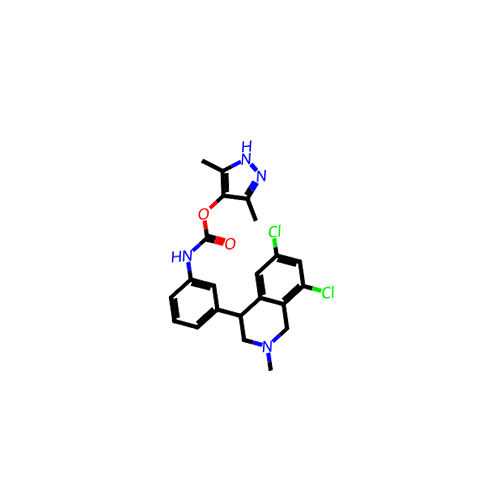 Cc1n[nH]c(C)c1OC(=O)Nc1cccc(C2CN(C)Cc3c(Cl)cc(Cl)cc32)c1